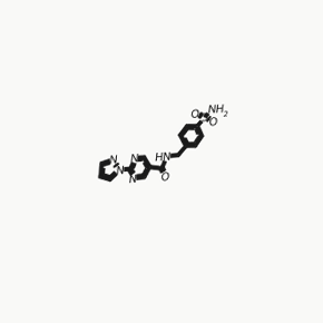 NS(=O)(=O)c1ccc(CNC(=O)c2cnc(-n3cccn3)nc2)cc1